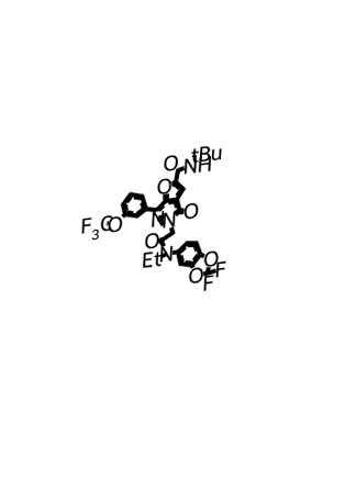 CCN(C(=O)Cn1nc(-c2cccc(OC(F)(F)F)c2)c2oc(C(=O)NC(C)(C)C)cc2c1=O)c1ccc2c(c1)OC(F)(F)O2